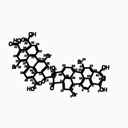 O=C(O)c1ccc2c3c(Br)cc(C(=O)OC(=O)c4cc(Br)c5c6ccc(C(=O)O)c7c(C(=O)O)cc(Br)c(c8ccc(C(=O)O)c4c85)c76)c4c(C(=O)O)ccc(c5c(Br)cc(C(=O)O)c1c25)c43